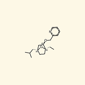 CC[C@@]12CC[C@@](CC(C)C)(C[C@H]1OCc1ccccn1)O2